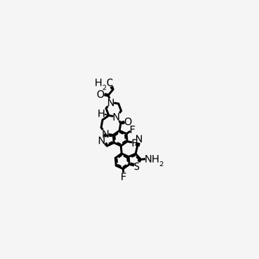 C=CC(=O)N1CCN2C(=O)c3c(F)c(F)c(-c4ccc(F)c5sc(N)c(C#N)c45)c4cnn(c34)CC[C@@H]2C1